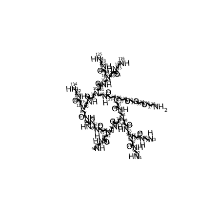 CNCCNC(=O)CCN(CCNC(=O)CCN(CCNC(=O)CCN(CCCOCCOCCOCCCN)CCC(=O)NCCN(CCC(=O)NCCN(CCC(=O)NCCNC)CCC(=O)NCCNC)CCC(=O)NCCN(CCC(=O)NCCNC)CCC(=O)NCCNC)CCC(=O)NCCN(CCC(=O)NCCNC)CCC(=O)NCCNC)CCC(=O)NCCNC